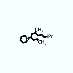 C=CCC(CC(C)CCCC(C)C)N1CCCCC1